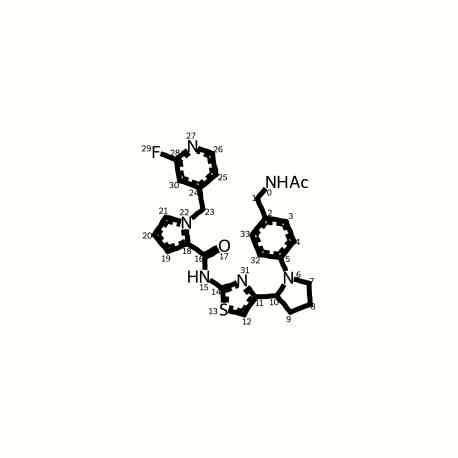 CC(=O)NCc1ccc(N2CCCC2c2csc(NC(=O)c3cccn3Cc3ccnc(F)c3)n2)cc1